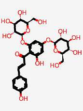 O=C(/C=C/c1ccc(O)cc1)c1c(O)cc(O[C@@H]2O[C@H](CO)[C@@H](O)[C@H](O)[C@H]2O)cc1O[C@@H]1O[C@H](CO)[C@@H](O)[C@H](O)[C@H]1O